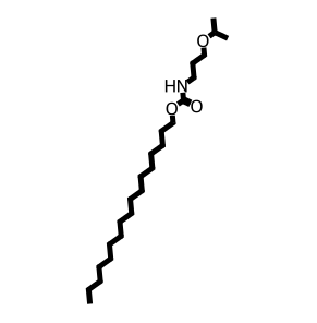 CCCCCCCCCCCCCCCCCOC(=O)NCCCOC(C)C